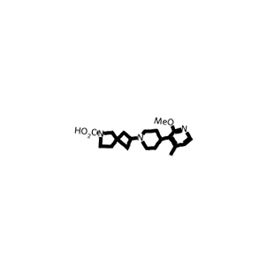 COc1nccc(C)c1C1CCN(C2CC3(CCN(C(=O)O)C3)C2)CC1